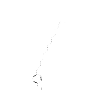 CCCCCCCCCCCCCCCCCCCCCOc1ccc(C)cc1